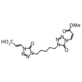 COC(=O)/C=C\n1nnn(CCCCCn2nnn(/C=C/C(=O)O)c2=O)c1=O